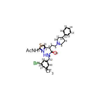 CC(=O)Nc1nc(C(CCN2CCC(c3ccccc3)CC2)C(=O)NCc2cc(Br)cc(C(F)(F)F)c2)cs1